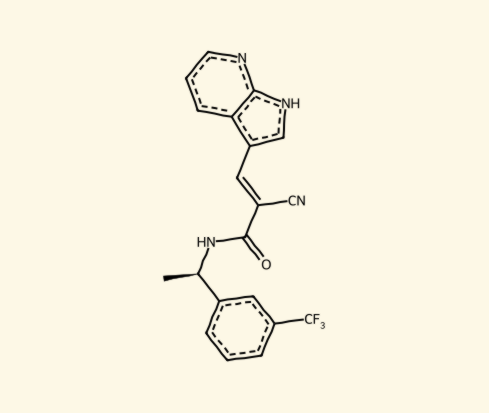 C[C@@H](NC(=O)/C(C#N)=C/c1c[nH]c2ncccc12)c1cccc(C(F)(F)F)c1